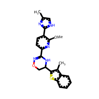 COc1nc(C2=NOCC(c3sc4ccccc4c3C)N2)ccc1-c1nc(C)c[nH]1